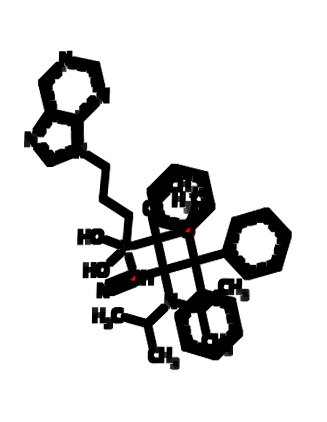 COC(OC)(C(C#N)(N(C(C)C)C(C)C)C(c1ccccc1)(c1ccccc1)c1ccccc1)P(O)(O)(O)CCCn1cnc2cncnc21